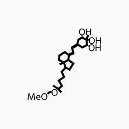 COCOC(C)(C)CCCCC1CCC2/C(=C/C=C3C[C@@H](O)C(C)(O)[C@H](O)C3)CCCC12C